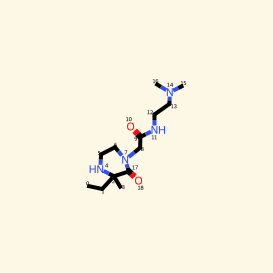 CCC1(C)NCCN(CC(=O)NCCN(C)C)C1=O